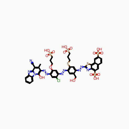 Cc1c(N=Nc2cc(Cl)c(N=Nc3cc(CO)c(N=Nc4nc5c(S(=O)(=O)O)cc6ccc(S(=O)(=O)O)cc6c5s4)cc3SCCCS(=O)(=O)O)cc2OCCCS(=O)(=O)O)c(O)n2c(nc3ccccc32)c1C#N